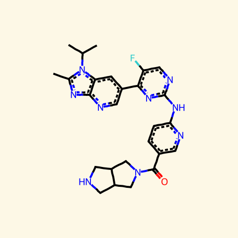 Cc1nc2ncc(-c3nc(Nc4ccc(C(=O)N5CC6CNCC6C5)cn4)ncc3F)cc2n1C(C)C